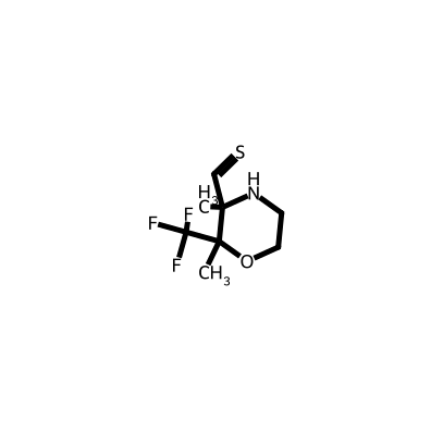 CC1(C=S)NCCOC1(C)C(F)(F)F